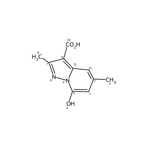 Cc1cc(O)n2nc(C)c(C(=O)O)c2c1